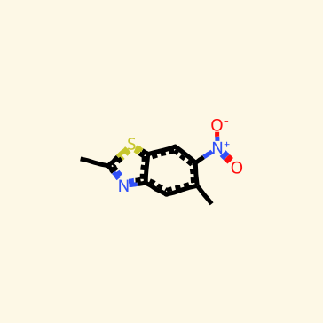 Cc1nc2cc(C)c([N+](=O)[O-])cc2s1